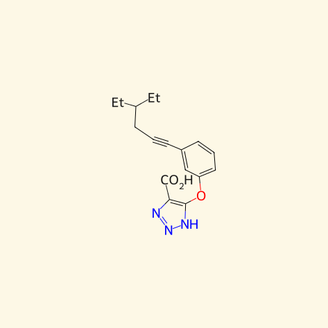 CCC(CC)CC#Cc1cccc(Oc2[nH]nnc2C(=O)O)c1